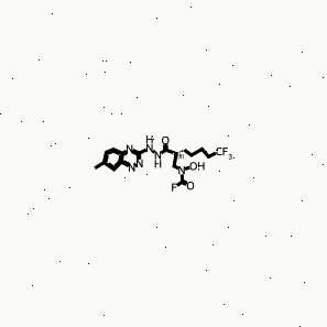 Cc1ccc2nc(NNC(=O)[C@H](CCCCC(F)(F)F)CN(O)C(=O)F)nnc2c1